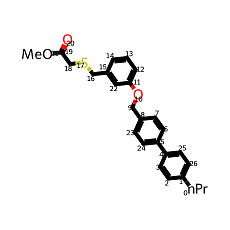 CCCc1ccc(-c2ccc(COc3cccc(CSCC(=O)OC)c3)cc2)cc1